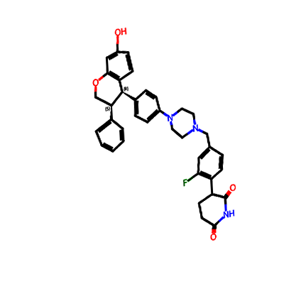 O=C1CCC(c2ccc(CN3CCN(c4ccc([C@@H]5c6ccc(O)cc6OC[C@@H]5c5ccccc5)cc4)CC3)cc2F)C(=O)N1